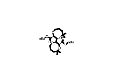 CCCCOC(=O)[C@H]1OCCCC(C)(C)O[C@@H]1[C@@H]1OCCCC(C)(C)O[C@H]1C(=O)OCCCC